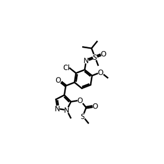 COc1ccc(C(=O)c2cnn(C)c2OC(=O)SC)c(Cl)c1N=S(C)(=O)C(C)C